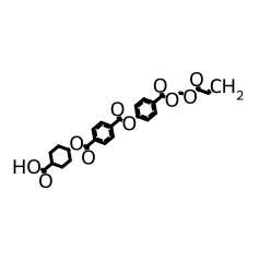 C=CC(=O)OCOC(=O)c1ccc(OC(=O)c2ccc(C(=O)OC3CCC(C(=O)O)CC3)cc2)cc1